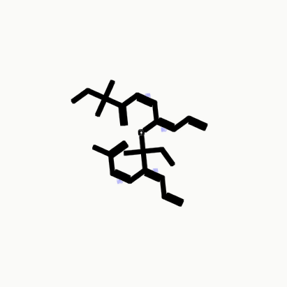 C=C/C=C(\C=C/C(=C)C(C)(C)CC)OC(C)(CC)C(/C=C\C(=C)C)=C/C=C